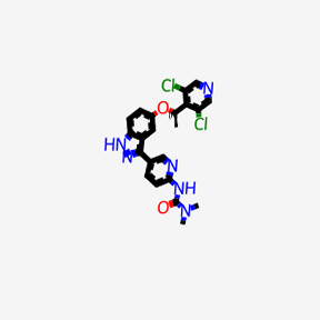 C[C@@H](Oc1ccc2[nH]nc(-c3ccc(NC(=O)N(C)C)nc3)c2c1)c1c(Cl)cncc1Cl